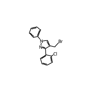 Clc1ccccc1-c1nn(-c2ccccc2)cc1CBr